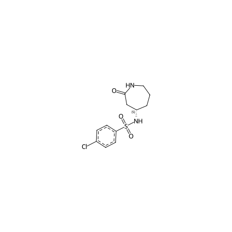 O=C1C[C@@H](NS(=O)(=O)c2ccc(Cl)cc2)CCCN1